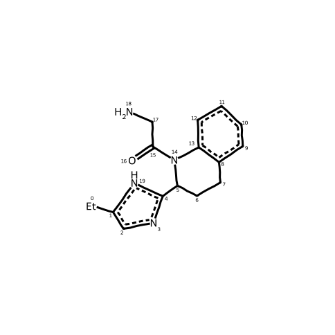 CCc1cnc(C2CCc3ccccc3N2C(=O)CN)[nH]1